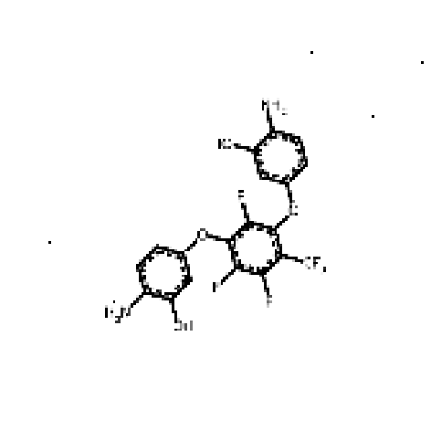 Nc1ccc(Oc2c(F)c(F)c(C(F)(F)F)c(Oc3ccc(N)c(O)c3)c2F)cc1O